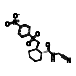 N#CCNC(=O)[C@@H]1CCCC[C@H]1CS(=O)(=O)c1ccc([N+](=O)[O-])cc1